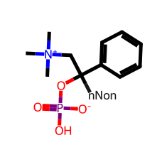 CCCCCCCCCC(C[N+](C)(C)C)(OP(=O)([O-])O)c1ccccc1